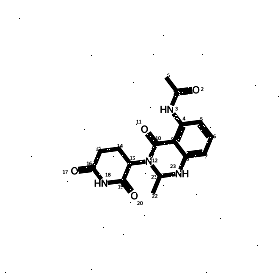 CC(=O)Nc1cccc2c1C(=O)N(C1CCC(=O)NC1=O)C(C)N2